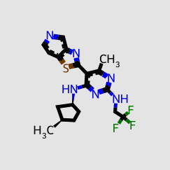 Cc1nc(NCC(F)(F)F)nc(N[C@H]2CC[C@@H](C)C2)c1-c1nc2cnccc2s1